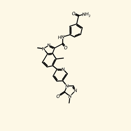 Cc1c(-c2ccc(-n3cnn(C)c3=O)cn2)ccc2c1c(C(=O)Nc1cccc(C(N)=O)c1)nn2C